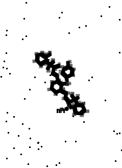 C=C(/C=C/C1=C(Sc2ccc(C)cc2)C(=C/C=C2/N(CCC)c3ccccc3C2(C)C)/CCC1)C(C)(C)c1ccccc1C